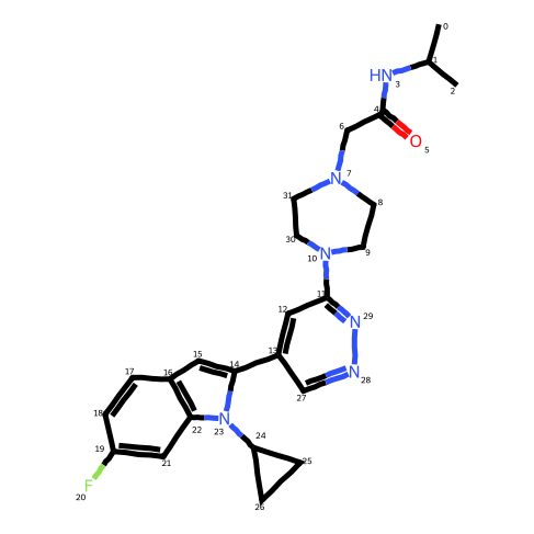 CC(C)NC(=O)CN1CCN(c2cc(-c3cc4ccc(F)cc4n3C3CC3)cnn2)CC1